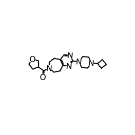 O=C(C1CCOC1)N1CCc2cnc(N3CCN(C4CCC4)CC3)nc2CC1